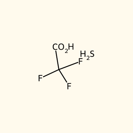 O=C(O)C(F)(F)F.S